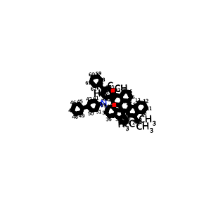 CC(C)(C)c1cc2c(c3c1C=CCC3)-c1cccc3c(C(C)(C)C)ccc(c13)C21c2ccccc2-c2ccc(N(c3ccc(-c4ccccc4)cc3)c3cccc(-c4ccccc4)c3)cc21